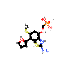 N#CSc1cc(OCP(=O)(O)O)c2nc(N)sc2c1-c1ccco1